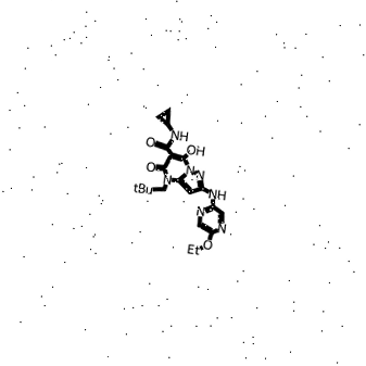 CCOc1cnc(Nc2cc3n(CC(C)(C)C)c(=O)c(C(=O)NC4CC4)c(O)n3n2)cn1